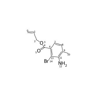 C=CCOC(=O)c1ccc(C)c(N)c1Br